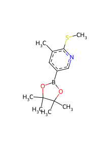 CSc1ncc(B2OC(C)(C)C(C)(C)O2)cc1C